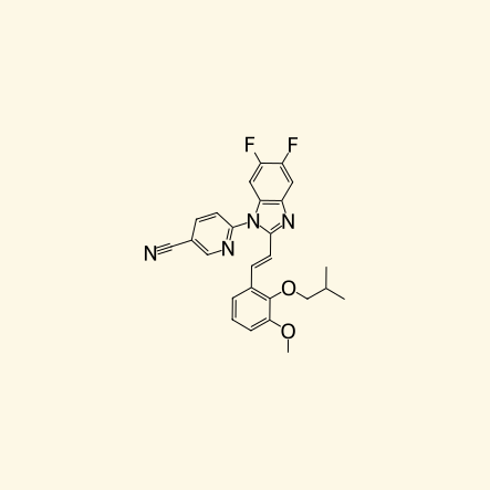 COc1cccc(C=Cc2nc3cc(F)c(F)cc3n2-c2ccc(C#N)cn2)c1OCC(C)C